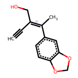 C#C/C(CO)=C(/C)c1ccc2c(c1)OCO2